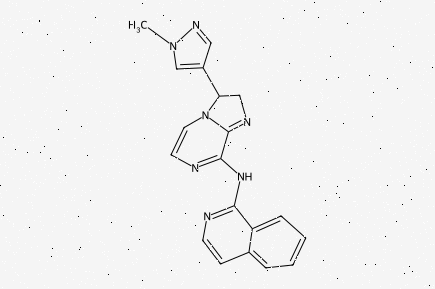 Cn1cc(C2CN=C3C(Nc4nccc5ccccc45)=NC=CN32)cn1